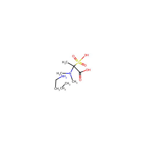 CC.CCN.CN(C)C(C)(C(=O)O)S(=O)(=O)O